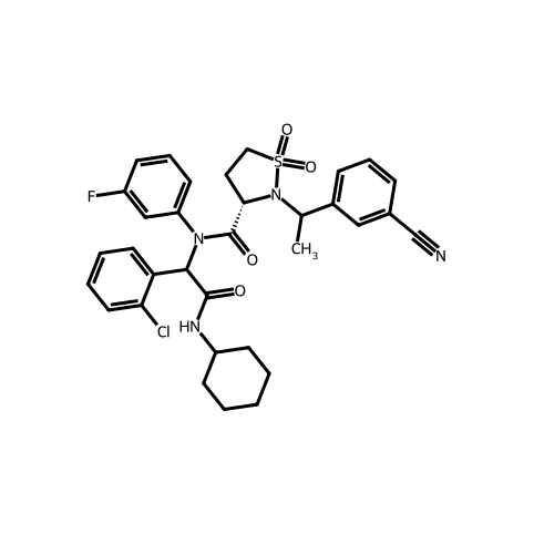 CC(c1cccc(C#N)c1)N1[C@H](C(=O)N(c2cccc(F)c2)C(C(=O)NC2CCCCC2)c2ccccc2Cl)CCS1(=O)=O